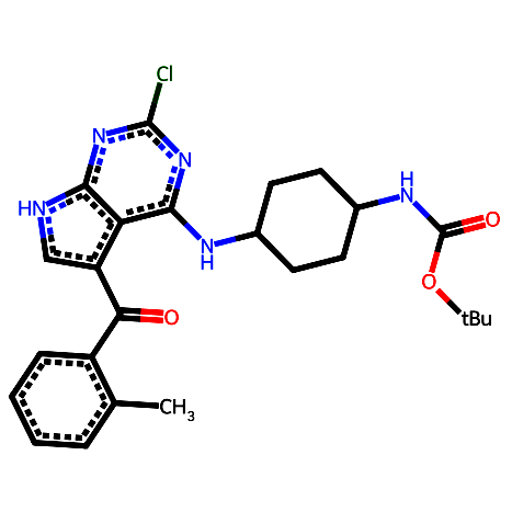 Cc1ccccc1C(=O)c1c[nH]c2nc(Cl)nc(NC3CCC(NC(=O)OC(C)(C)C)CC3)c12